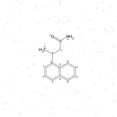 CC(CC(N)=O)c1cccc2ccccc12